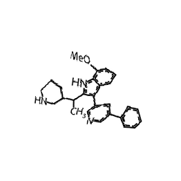 COc1cccc2c(-c3cncc(-c4ccccc4)c3)c(C(C)C3CCCNC3)[nH]c12